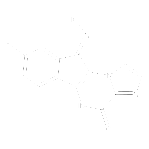 O=c1[nH]c2c(n3ccnc13)C(=NO)c1cc(F)ccc1-2